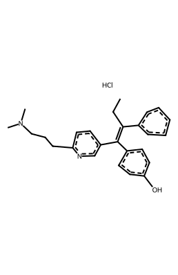 CCC(=C(c1ccc(O)cc1)c1ccc(CCCN(C)C)nc1)c1ccccc1.Cl